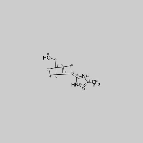 OCC12C3=C4C1C1C2C3C41c1nc(C(F)(F)F)c[nH]1